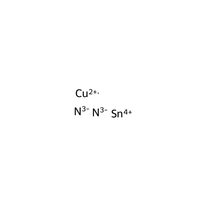 [Cu+2].[N-3].[N-3].[Sn+4]